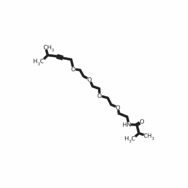 CC(C)C#CCOCCOCCOCCOCCNC(=O)C(C)C